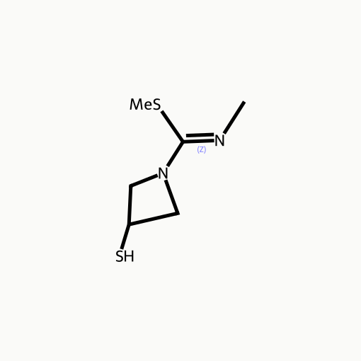 C/N=C(\SC)N1CC(S)C1